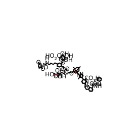 Cc1c(-c2ccc(N3CCc4cccc(C(=O)Nc5nc6ccccc6s5)c4C3)nc2C(=O)O)cnn1CC12CC3(C)CC(C)(C1)CC(OCCN(CC[C@@H](O)[C@H](O)[C@H](O)CO)C(=O)OCc1ccc(CCCCNC(=O)CN4C(=O)C=CC4=O)cc1O[C@@H]1O[C@H](C(=O)O)[C@@H](O)[C@H](O)[C@H]1O)(C3)C2